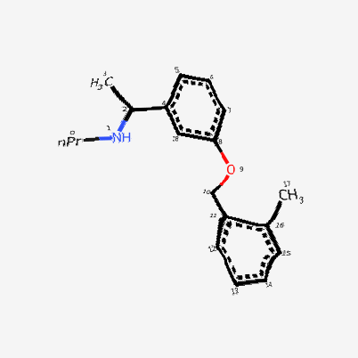 CCCNC(C)c1cccc(OCc2ccccc2C)c1